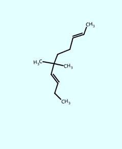 CC=CCCC(C)(C)C=CCC